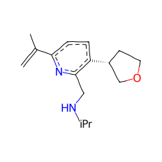 C=C(C)c1ccc([C@@H]2CCOC2)c(CNC(C)C)n1